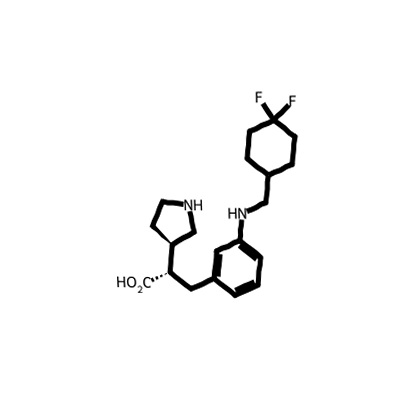 O=C(O)[C@@H](Cc1cccc(NCC2CCC(F)(F)CC2)c1)[C@H]1CCNC1